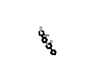 O=c1cc(-c2ccccc2)ccn1-c1ccc2c3c([nH]c2c1)CNCC3